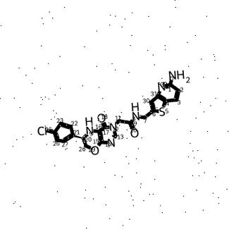 Nc1ccc2sc(CNC(=O)Cn3cnc4c(c3=O)N[C@H](c3ccc(Cl)cc3)CO4)cc2n1